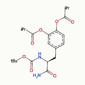 CC(C)C(=O)Oc1ccc(C[C@H](NC(=O)OC(C)(C)C)C(N)=O)cc1OC(=O)C(C)C